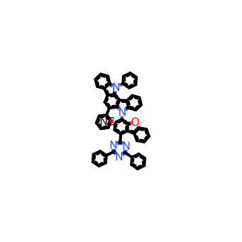 N#Cc1cc(-c2nc(-c3ccccc3)nc(-c3ccccc3)n2)c2c(oc3ccccc32)c1-n1c2ccccc2c2c1c(-c1ccccc1)cc1c3ccccc3n(-c3ccccc3)c12